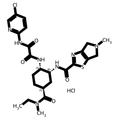 CCN(C)C(=O)[C@H]1CC[C@H](NC(=O)C(=O)Nc2ccc(Cl)cn2)[C@H](NC(=O)c2nc3c(s2)CN(C)C3)C1.Cl